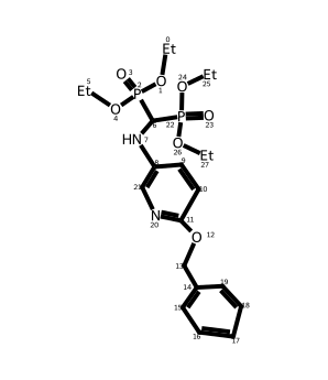 CCOP(=O)(OCC)C(Nc1ccc(OCc2ccccc2)nc1)P(=O)(OCC)OCC